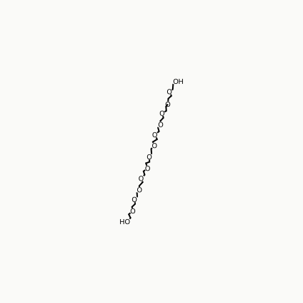 OCCOCCOCCOCCOCCOCCOCCOCCOCCOCCOCCOCCOCCO